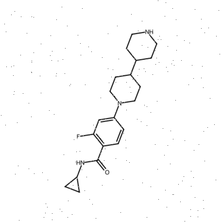 O=C(NC1CC1)c1ccc(N2CCC(C3CCNCC3)CC2)cc1F